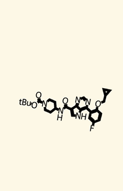 CC(C)(C)OC(=O)N1CCC(NC(=O)c2c[nH]c3c(-c4cc(F)ccc4OCC4CC4)ncnc23)CC1